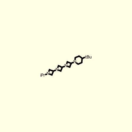 CC(C)N1CC(N2CC(N3CC(N4CCC(C(C)(C)C)CC4)C3)C2)C1